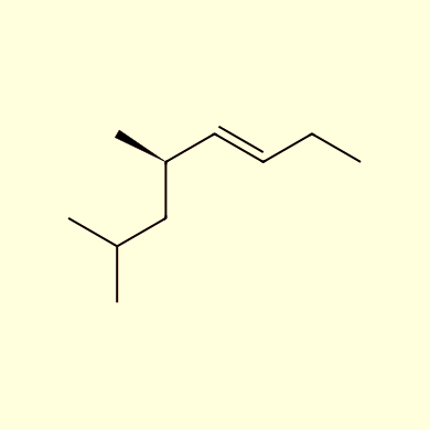 CC/C=C/[C@H](C)CC(C)C